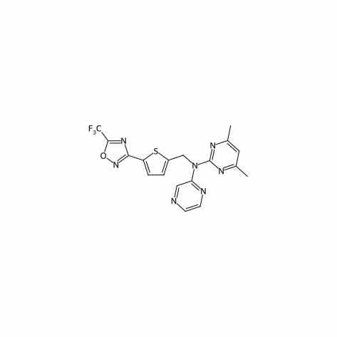 Cc1cc(C)nc(N(Cc2ccc(-c3noc(C(F)(F)F)n3)s2)c2cnccn2)n1